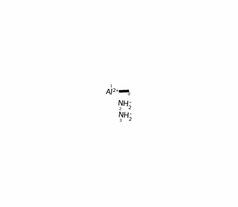 [CH3][Al+2].[NH2-].[NH2-]